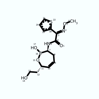 CO/N=C(/C(=O)N[C@H]1CC=C[C@H](CCO)OB1O)c1cccs1